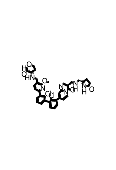 COc1nc(-c2cccc(-c3cccc(-c4ccn5c(=O)c(CNC[C@H]6CCC(=O)N6)cnc5c4)c3Cl)c2Cl)ccc1CN[C@H]1CCOC[C@@H]1O